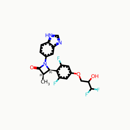 C[C@H]1C(=O)N(c2ccc3[nH]cnc3c2)[C@H]1c1c(F)cc(OCC(O)C(F)F)cc1F